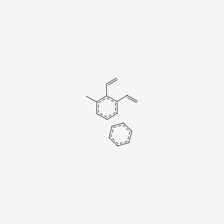 C=Cc1cccc(C)c1C=C.c1ccccc1